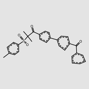 Cc1ccc(S(=O)(=O)C(C)(C)C(=O)c2ccc(-c3ccc(C(=O)c4ccccc4)cc3)cc2)cc1